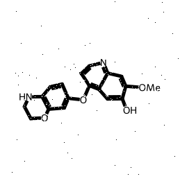 COc1cc2nccc(Oc3ccc4c(c3)OCCN4)c2cc1O